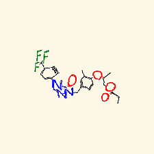 CCC(=O)OCC(C)Oc1ccc(Cn2ncn(-c3ccc(C(F)(F)F)cc3)c2=O)cc1C